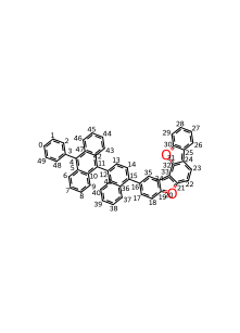 c1ccc(-c2c3ccccc3c(-c3ccc(-c4ccc5oc6ccc7c8ccccc8oc7c6c5c4)c4ccccc34)c3ccccc23)cc1